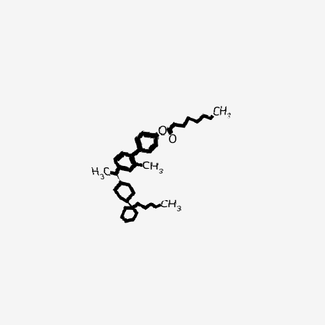 CCCCCCCC(=O)Oc1ccc(-c2ccc(C(C)[C@H]3CC[C@H](C4(CCCCC)CCCCC4)CC3)cc2C)cc1